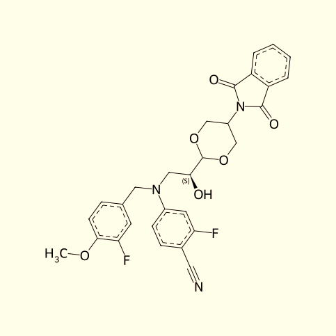 COc1ccc(CN(C[C@H](O)C2OCC(N3C(=O)c4ccccc4C3=O)CO2)c2ccc(C#N)c(F)c2)cc1F